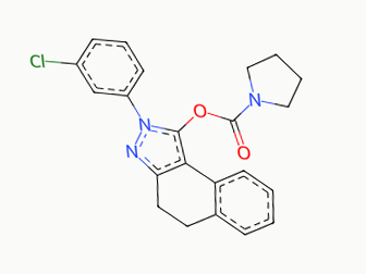 O=C(Oc1c2c(nn1-c1cccc(Cl)c1)CCc1ccccc1-2)N1CCCC1